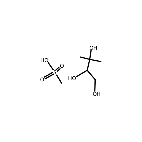 CC(C)(O)C(O)CO.CS(=O)(=O)O